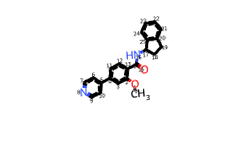 COc1cc(-c2ccncc2)ccc1C(=O)NC1CCc2ccccc21